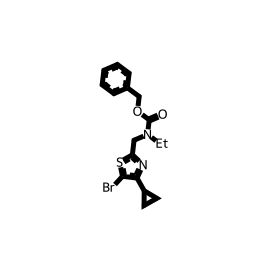 CCN(Cc1nc(C2CC2)c(Br)s1)C(=O)OCc1ccccc1